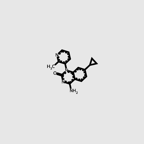 Cc1ncccc1-n1c(=O)nc(N)c2ccc(C3CC3)cc21